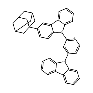 c1ccc2c(c1)c1ccccc1n2-c1ccnc(-n2c3ccccc3c3cc(C45CC6CC(CC(C6)C4)C5)ccc32)c1